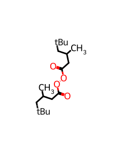 CC(CC(=O)OOC(=O)CC(C)CC(C)(C)C)CC(C)(C)C